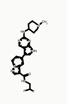 CN1CCC(Nc2ncc3c(-c4ccn5ncc(C(=O)NCC(F)F)c5c4)c[nH]c3n2)CC1